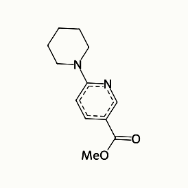 COC(=O)c1ccc(N2CCCCC2)nc1